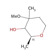 COC1(C)CCO[C@@H](C)C1O